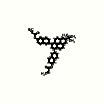 C=CC(=O)Oc1ccc2cc(-c3cc(-c4ccc5cc(OC(=O)C=C)ccc5c4)c4ccc5cc(C(C)(C)C)cc6ccc3c4c65)ccc2c1